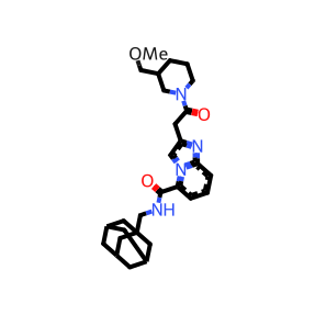 COCC1CCCN(C(=O)Cc2cn3c(C(=O)NCC45CC6CC(CC(C6)C4)C5)cccc3n2)C1